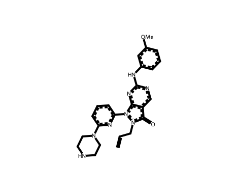 C=CCn1c(=O)c2cnc(Nc3cccc(OC)c3)nc2n1-c1cccc(N2CCNCC2)n1